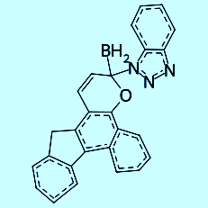 BC1(n2nnc3ccccc32)C=Cc2c3c(c4ccccc4c2O1)-c1ccccc1C3